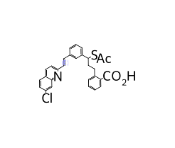 CC(=O)SC(CCc1ccccc1C(=O)O)c1cccc(/C=C/c2ccc3ccc(Cl)cc3n2)c1